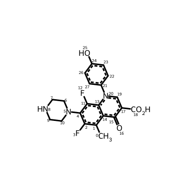 Cc1c(F)c(N2CCNCC2)c(F)c2c1c(=O)c(C(=O)O)cn2-c1ccc(O)cc1